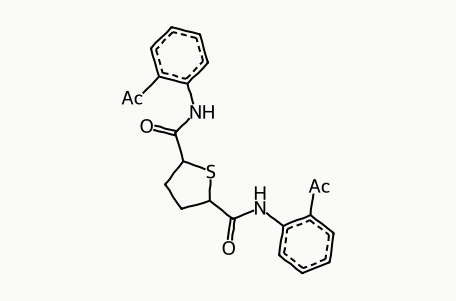 CC(=O)c1ccccc1NC(=O)C1CCC(C(=O)Nc2ccccc2C(C)=O)S1